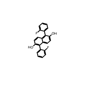 Oc1ccc2c(-c3ccccc3F)c(O)ccc2c1-c1ccccc1F